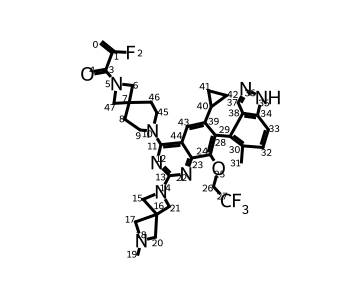 C=C(F)C(=O)N1CC2(CCN(c3nc(N4CC5(CN(C)C5)C4)nc4c(OCC(F)(F)F)c(-c5c(C)ccc6[nH]ncc56)c(C5CC5)cc34)CC2)C1